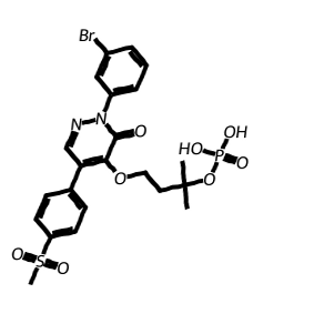 CC(C)(CCOc1c(-c2ccc(S(C)(=O)=O)cc2)cnn(-c2cccc(Br)c2)c1=O)OP(=O)(O)O